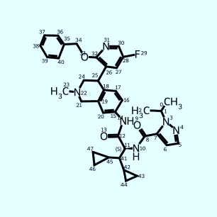 CC(C)n1nccc1C(=O)N[C@H](C(=O)Nc1ccc2c(c1)CN(C)CC2c1cc(F)cnc1OCc1ccccc1)C(C1CC1)C1CC1